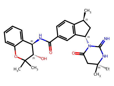 CC[C@]1(C)CC(=O)N([C@H]2C[C@H](C)c3ccc(C(=O)N[C@@H]4c5ccccc5OC(C)(C)[C@H]4O)cc32)C(=N)N1